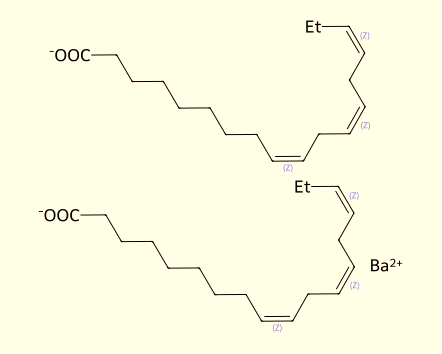 CC/C=C\C/C=C\C/C=C\CCCCCCCC(=O)[O-].CC/C=C\C/C=C\C/C=C\CCCCCCCC(=O)[O-].[Ba+2]